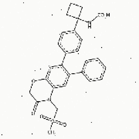 CS(=O)(=O)CN1C(=O)COc2nc(-c3ccc(C4(NC(=O)O)CCC4)cc3)c(-c3ccccc3)cc21